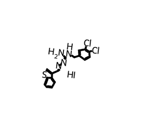 I.N/C(=N\N=C\c1csc2ccccc12)NCc1ccc(Cl)c(Cl)c1